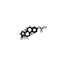 C[C@]12CC[C@@H]3c4ccc(OS(=O)O)cc4CC[C@H]3[C@@H]1CCC2=O